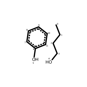 CCCCO.Oc1ccccc1